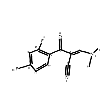 CN(C)C=C(C#N)C(=O)c1ccc(F)cc1F